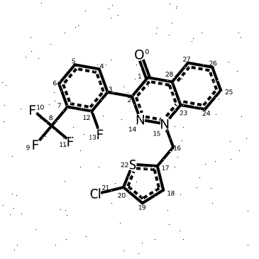 O=c1c(-c2cccc(C(F)(F)F)c2F)nn(Cc2ccc(Cl)s2)c2ccccc12